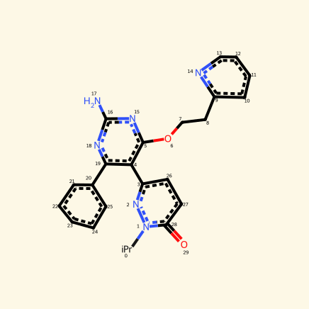 CC(C)n1nc(-c2c(OCCc3ccccn3)nc(N)nc2-c2ccccc2)ccc1=O